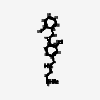 CC(=O)NCCNCc1ccc(OCc2ccccc2F)c(Cl)c1